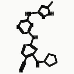 Cc1cc(Nc2cncc(Nc3ccc(C#N)c(NC4CCCC4)c3)n2)n[nH]1